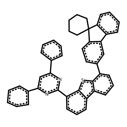 c1ccc(-c2cc(-c3ccccc3)nc(-c3cccc4c3sc3c(-c5ccc6c(c5)-c5ccccc5C65CCCCC5)cccc34)n2)cc1